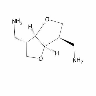 NC[C@@H]1CO[C@@H]2[C@@H](CN)CO[C@H]12